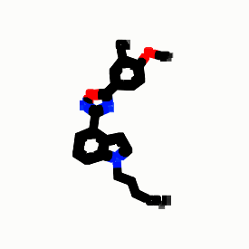 CC(C)Oc1ccc(-c2nc(-c3cccc4c3ccn4CCCC(=O)O)no2)cc1C#N